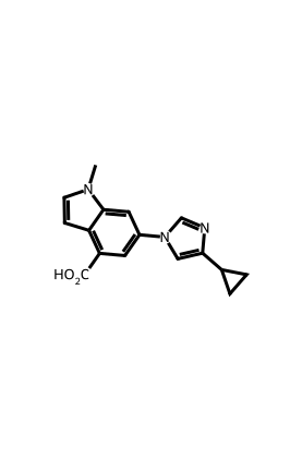 Cn1ccc2c(C(=O)O)cc(-n3cnc(C4CC4)c3)cc21